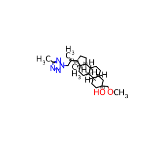 COC[C@@]1(O)CC[C@H]2[C@H](CC[C@@H]3[C@@H]2CC[C@]2(C)[C@@H]([C@H](C)Cn4nnc(C)n4)CC[C@@H]32)C1